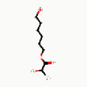 CC(O)C(=O)OCCCCCCO